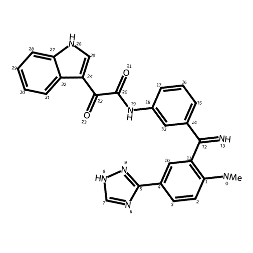 CNc1ccc(-c2nc[nH]n2)cc1C(=N)c1cccc(NC(=O)C(=O)c2c[nH]c3ccccc23)c1